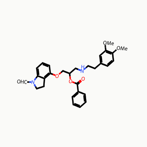 COc1ccc(CCNCC(COc2cccc3c2CCN3C=O)OC(=O)c2ccccc2)cc1OC